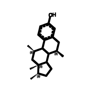 C[C@@H]1Cc2cc(O)ccc2C2C1C1CC[C@H](C)[C@@]1(C)C[C@@H]2C